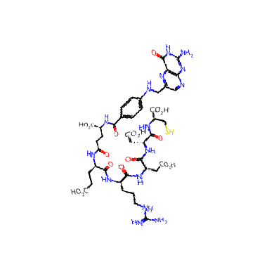 N=C(N)NCCC[C@@H](NC(=O)[C@@H](CCC(=O)O)NC(=O)CC[C@H](NC(=O)c1ccc(NCc2cnc3nc(N)[nH]c(=O)c3n2)cc1)C(=O)O)C(=O)N[C@H](CC(=O)O)C(=O)N[C@H](CC(=O)O)C(=O)N[C@H](CS)C(=O)O